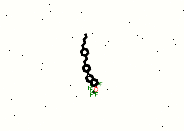 CCCCCC1CCC(CCc2ccc(-c3ccc4c(F)c(OC(F)(F)F)c(F)cc4c3)cc2)CC1